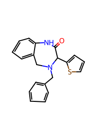 O=C1Nc2ccccc2CN(Cc2ccccc2)C1c1cccs1